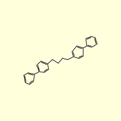 c1ccc(-c2ccc(CCCCc3ccc(-c4ccccc4)cc3)cc2)cc1